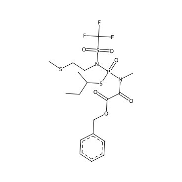 CCC(C)SP(=O)(N(C)C(=O)C(=O)OCc1ccccc1)N(CCSC)S(=O)(=O)C(F)(F)F